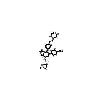 N#Cc1ccc(-c2cc(OC[C@@H]3CCNC3)c3cncn3c2-c2ccc(CCN3CCOCC3)cc2)cc1